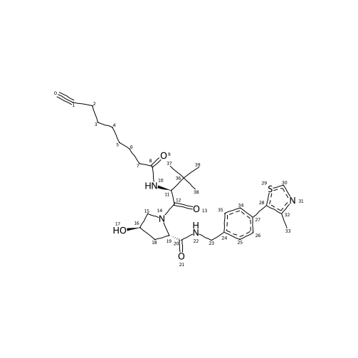 C#CCCCCCCC(=O)N[C@H](C(=O)N1C[C@H](O)C[C@H]1C(=O)NCc1ccc(-c2scnc2C)cc1)C(C)(C)C